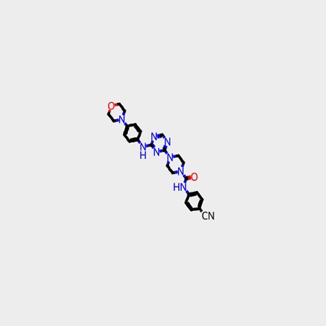 N#Cc1ccc(NC(=O)N2CCN(c3ncnc(Nc4ccc(N5CCOCC5)cc4)n3)CC2)cc1